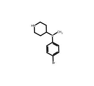 CN(c1ccc(Br)cc1)C1CCNCC1